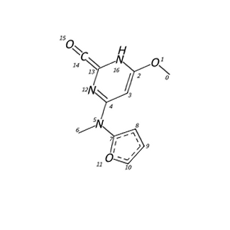 COC1=CC(N(C)c2ccco2)=NC(=C=O)N1